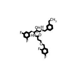 CCc1cccc(CNC[C@H](O)[C@H](Cc2cc(F)cc(F)c2)NC(=O)CCOCc2ccc(F)cc2F)c1